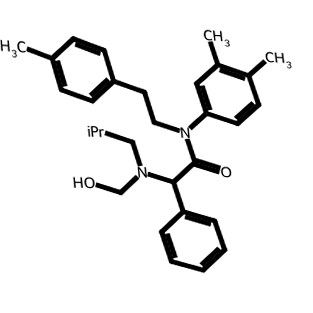 Cc1ccc(CCN(C(=O)C(c2ccccc2)N(CO)CC(C)C)c2ccc(C)c(C)c2)cc1